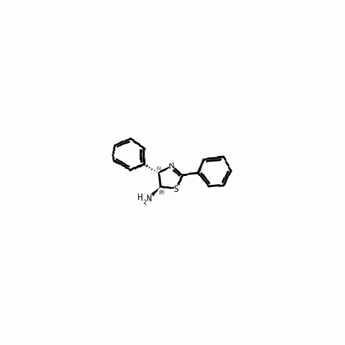 N[C@@H]1SC(c2ccccc2)=N[C@H]1c1ccccc1